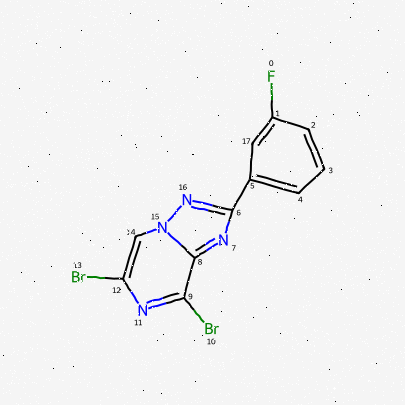 Fc1cccc(-c2nc3c(Br)nc(Br)cn3n2)c1